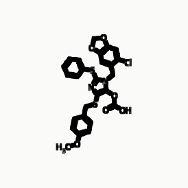 COc1ccc(CSc2nc(Sc3ccccc3)n(Cc3cc4c(cc3Cl)OCO4)c2OC(=O)O)cc1